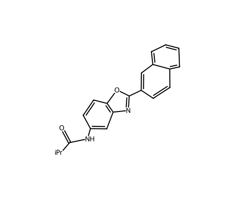 CC(C)C(=O)Nc1ccc2oc(-c3ccc4ccccc4c3)nc2c1